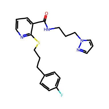 O=C(NCCCn1cccn1)c1cccnc1SCCCc1ccc(F)cc1